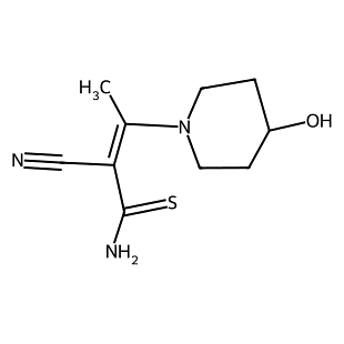 CC(=C(C#N)C(N)=S)N1CCC(O)CC1